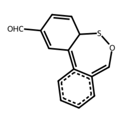 O=CC1=CC2=c3ccccc3=COSC2C=C1